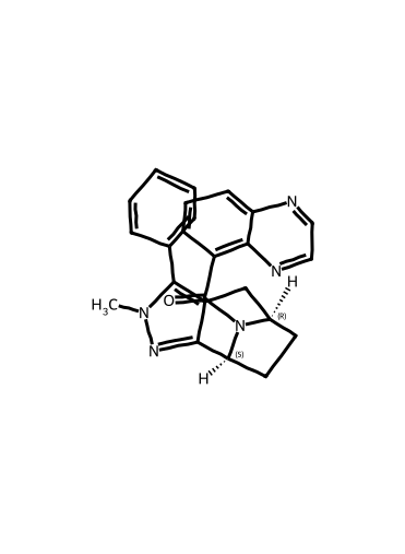 Cn1nc2c(c1-c1ccccc1)C[C@H]1CC[C@@H]2N1C(=O)c1cccc2nccnc12